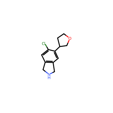 Clc1cc2c(cc1C1CCOC1)CNC2